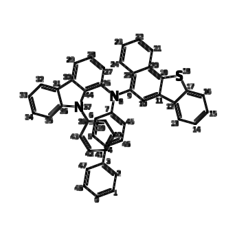 c1ccc(-c2ccc(N(c3cc4c5ccccc5sc4c4ccccc34)c3cccc4c5ccccc5n(-c5ccccc5)c34)cc2)cc1